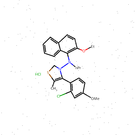 CCCN(c1c(OCC)ccc2ccccc12)N1CSC(C)=C1c1ccc(OC)cc1Cl.Cl